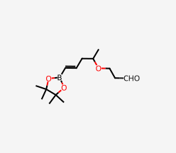 CC(C/C=C/B1OC(C)(C)C(C)(C)O1)OCCC=O